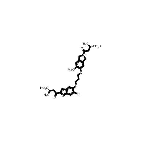 CCc1cc2sc(C(=O)C[C@H](C)C(=O)O)cc2cc1OCCCOc1cc2c(cc1OC)CN(C(=O)C[C@H](C)C(=O)O)C2